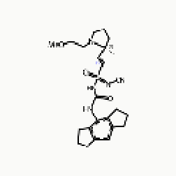 COCCN1CCC[C@@]1(C)/C=C/S(=O)(=NC#N)NC(=O)Nc1c2c(cc3c1CCC3)CCC2